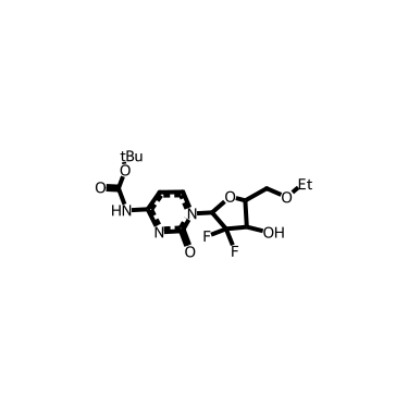 CCOCC1OC(n2ccc(NC(=O)OC(C)(C)C)nc2=O)C(F)(F)C1O